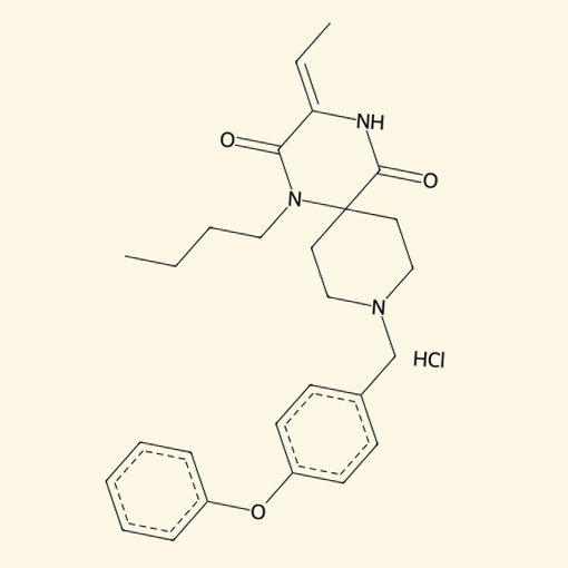 C/C=C1\NC(=O)C2(CCN(Cc3ccc(Oc4ccccc4)cc3)CC2)N(CCCC)C1=O.Cl